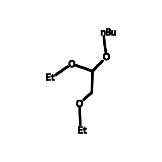 CCCCOC(COCC)OCC